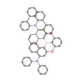 C1=CC2C(N(c3ccccc3-c3ccccc3)c3ccccc3-c3ccccc3)=CC3=C(B4c5c(cccc5Oc5cc(N(c6ccccc6)c6ccccc6)c6ccccc6c54)O3)C2C=C1